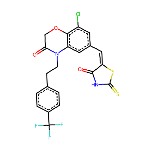 O=C1NC(=S)SC1=Cc1cc(Cl)c2c(c1)N(CCc1ccc(C(F)(F)F)cc1)C(=O)CO2